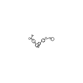 O=C(C1CC1)N1CCN(c2ccnn3cc(-c4ccc(OCCN5CCCCC5)cc4)cc23)CC1